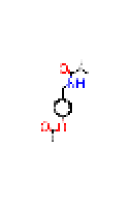 CC(=O)Oc1ccc(CNC(=O)C(C)C)cc1